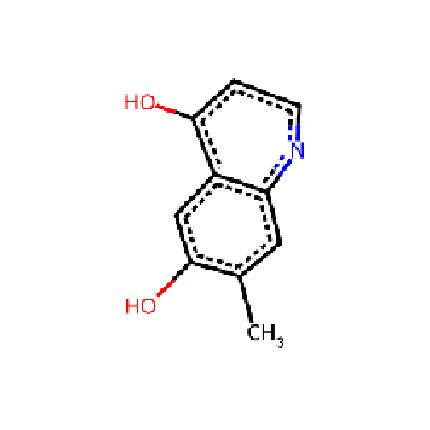 Cc1cc2nccc(O)c2cc1O